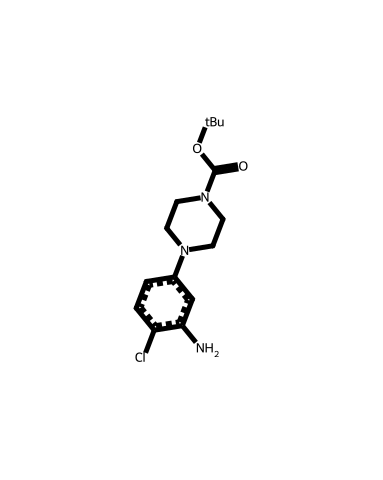 CC(C)(C)OC(=O)N1CCN(c2ccc(Cl)c(N)c2)CC1